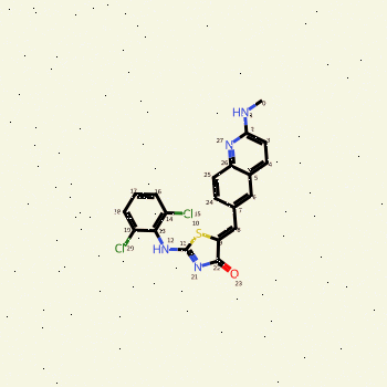 CNc1ccc2cc(/C=C3\SC(Nc4c(Cl)cccc4Cl)=NC3=O)ccc2n1